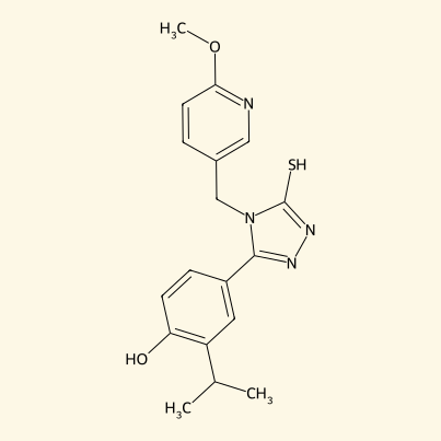 COc1ccc(Cn2c(S)nnc2-c2ccc(O)c(C(C)C)c2)cn1